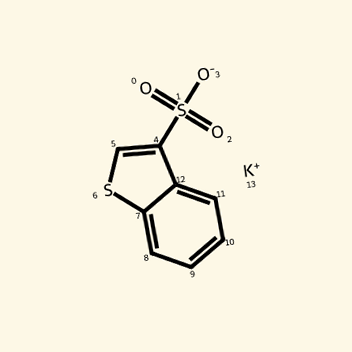 O=S(=O)([O-])c1csc2ccccc12.[K+]